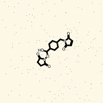 O=C1C=CC(=O)N1CC1CCC(C(O)ON2C(=O)CCC2=O)CC1